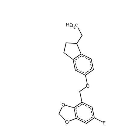 O=C(O)CC1CCc2cc(OCc3cc(F)cc4c3OCO4)ccc21